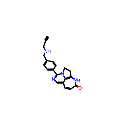 C#CCNCc1ccc(C2=NC=C3C=CC(=O)NC4=C3N2CC4)cc1